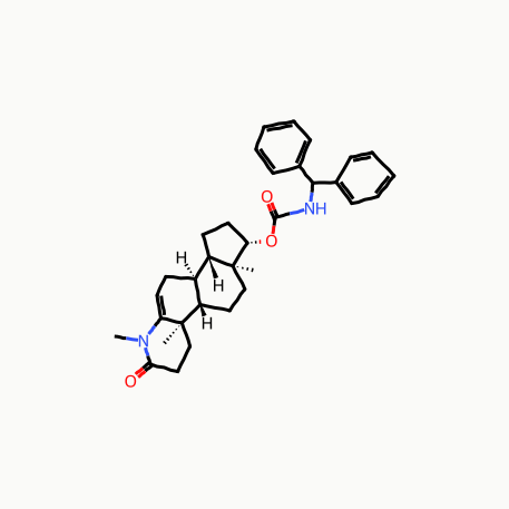 CN1C(=O)CC[C@@]2(C)C1=CC[C@H]1[C@@H]3CC[C@H](OC(=O)NC(c4ccccc4)c4ccccc4)[C@@]3(C)CC[C@@H]12